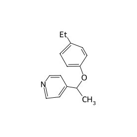 CCc1ccc(OC(C)c2ccncc2)cc1